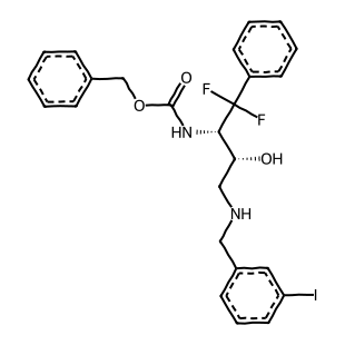 O=C(N[C@@H]([C@H](O)CNCc1cccc(I)c1)C(F)(F)c1ccccc1)OCc1ccccc1